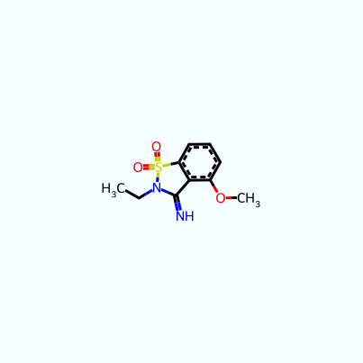 CCN1C(=N)c2c(OC)cccc2S1(=O)=O